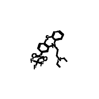 CCN(CC)CCN1c2ccccc2Sc2ccc(S(=O)(=O)C(F)(F)F)cc21